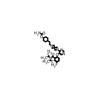 CC(C)N(C(=O)c1cc(F)ccc1Oc1cncnc1N1CC2(CN(CCC3CCC(OC(N)=O)CC3)C2)C1)C(C)C